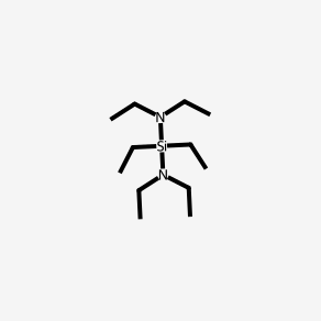 CCN(CC)[Si](CC)(CC)N(CC)CC